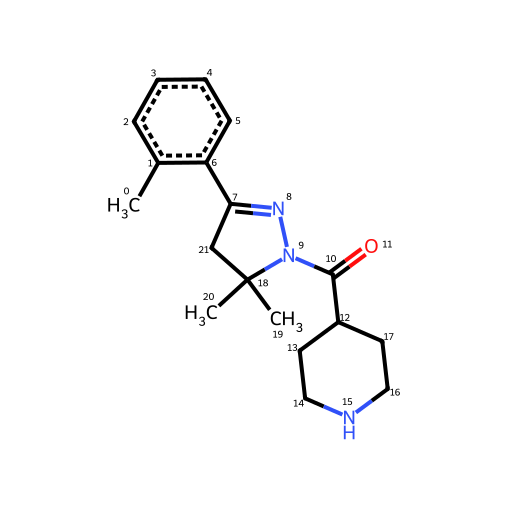 Cc1ccccc1C1=NN(C(=O)C2CCNCC2)C(C)(C)C1